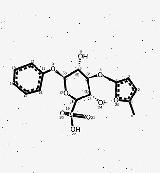 Cc1ccc(O[C@@H]2[C@@H](O)[C@H](Oc3ccccc3)OC(S(=O)(=O)O)[C@H]2O)o1